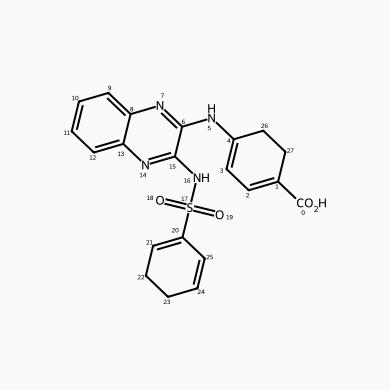 O=C(O)C1=CC=C(Nc2nc3ccccc3nc2NS(=O)(=O)C2=CCCC=C2)CC1